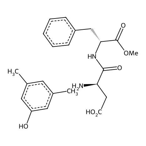 COC(=O)[C@@H](Cc1ccccc1)NC(=O)[C@H](N)CC(=O)O.Cc1cc(C)cc(O)c1